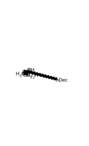 CCCCCCCCCCCCCCCCCCCCCCCCCCCCCC[C@@H](O)[C@@H]1COC(C)(C)N1C(=O)O